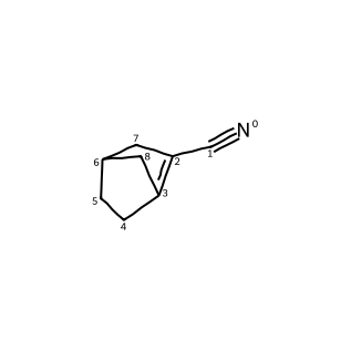 N#CC1=C2CCC(C1)C2